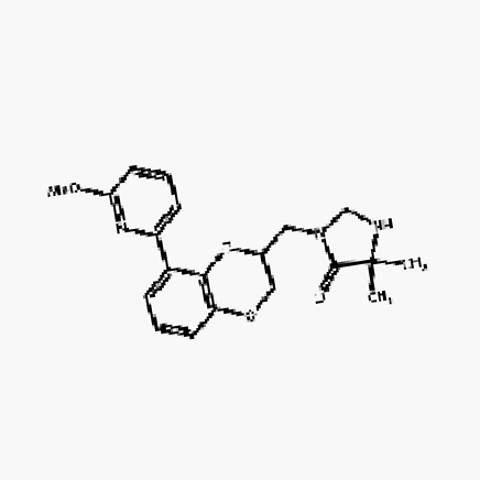 COc1cccc(-c2cccc3c2OC(CN2CNC(C)(C)C2=O)CO3)n1